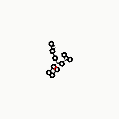 c1ccc(-c2cccc3cccc(-c4ccc(N(c5ccc(-c6ccc7c(c6)sc6ccccc67)cc5)c5cccc(-n6c7ccccc7c7ccccc76)c5)cc4)c23)cc1